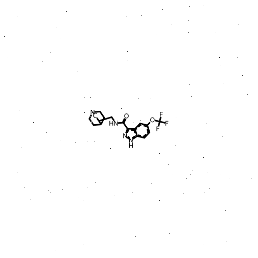 O=C(NCC1CN2CCC1CC2)c1n[nH]c2ccc(OC(F)(F)F)cc12